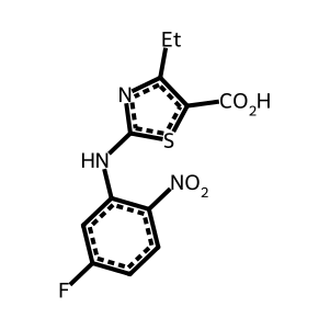 CCc1nc(Nc2cc(F)ccc2[N+](=O)[O-])sc1C(=O)O